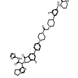 O=C(Nc1nccs1)C(c1ncn2c1CCC2)N1Cc2c(F)cc(-c3ccc(N4CCN(C(=O)CN5CCC(c6ccc(N[C@H]7CCCNC7=O)cc6F)CC5)CC4)cc3)cc2C1=O